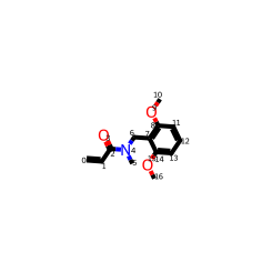 C=CC(=O)N(C)Cc1c(OC)cccc1OC